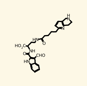 O=Cc1c(C(=O)NC(CCNC(=O)CCCCc2ccc3c(n2)CCNC3)C(=O)O)[nH]c2ccccc12